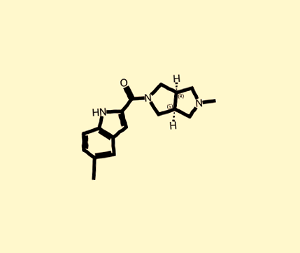 Cc1ccc2[nH]c(C(=O)N3C[C@H]4CN(C)C[C@H]4C3)cc2c1